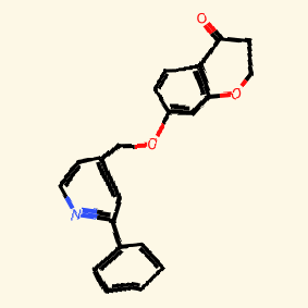 O=C1CCOc2cc(OCc3ccnc(-c4ccccc4)c3)ccc21